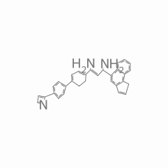 N/C(=C\C(N)c1cc2c(c3ccccc13)CC=C2)C1=CC=C(c2ccc(C3=CC=N3)cc2)CC1